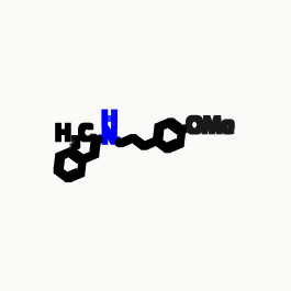 COc1ccc(CCCNC(C)=Cc2ccccc2)cc1